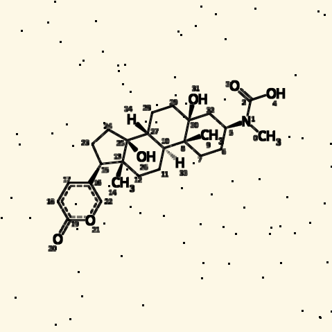 CN(C(=O)O)[C@H]1CC[C@]2(C)[C@H]3CC[C@]4(C)[C@@H](c5ccc(=O)oc5)CC[C@]4(O)[C@@H]3CC[C@]2(O)C1